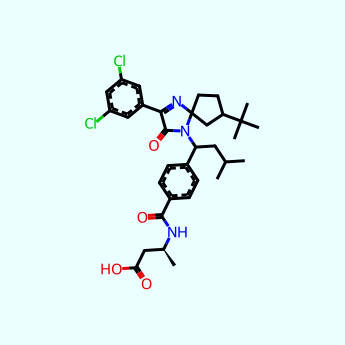 CC(C)CC(c1ccc(C(=O)N[C@@H](C)CC(=O)O)cc1)N1C(=O)C(c2cc(Cl)cc(Cl)c2)=NC12CCC(C(C)(C)C)C2